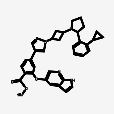 CC(C)(C)OC(=O)c1ccc(-c2cnn(C3CC(N4CCCC4c4ccccc4C4CC4)C3)c2)cc1Oc1cnc2[nH]ccc2c1